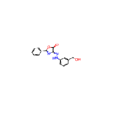 O=C1OC(c2ccccc2)=NC1=NNc1cccc(CO)c1